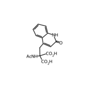 CC(=O)NC(Cc1cc(=O)[nH]c2ccccc12)(C(=O)O)C(=O)O